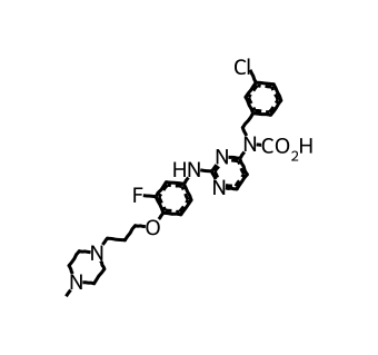 CN1CCN(CCCOc2ccc(Nc3nccc(N(Cc4cccc(Cl)c4)C(=O)O)n3)cc2F)CC1